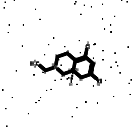 CCN1CCC2=C(Cl)C=C(Cl)C[C@@]2(I)C1